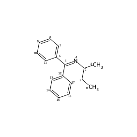 CCC(C)N=C(c1ccccc1)c1ccccc1